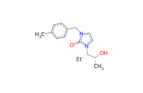 CC[C@@H]([C@@H](C)O)n1ccn(Cc2ccc(C)cc2)c1=O